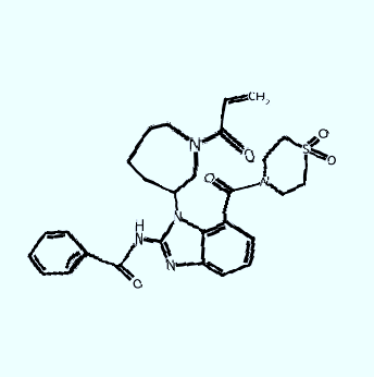 C=CC(=O)N1CCCCC(n2c(NC(=O)c3ccccc3)nc3cccc(C(=O)N4CCS(=O)(=O)CC4)c32)C1